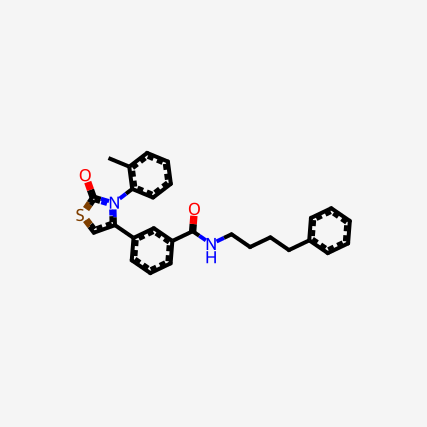 Cc1ccccc1-n1c(-c2cccc(C(=O)NCCCCc3ccccc3)c2)csc1=O